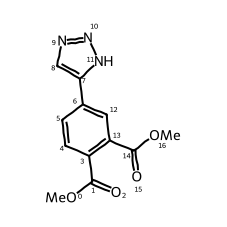 COC(=O)c1ccc(-c2cnn[nH]2)cc1C(=O)OC